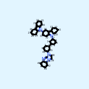 c1cc(-c2cccc(-n3c4ccccc4c4cc(-n5c6ccccc6c6ccccc65)ccc43)c2)cc(-n2ccn3c4ccccc4nc23)c1